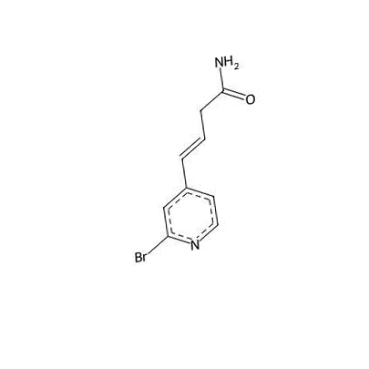 NC(=O)CC=Cc1ccnc(Br)c1